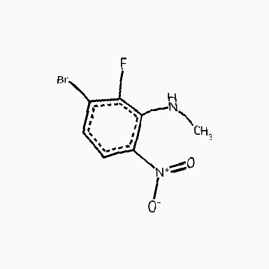 CNc1c([N+](=O)[O-])ccc(Br)c1F